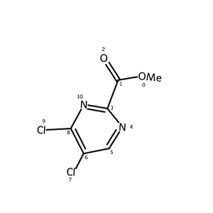 COC(=O)c1ncc(Cl)c(Cl)n1